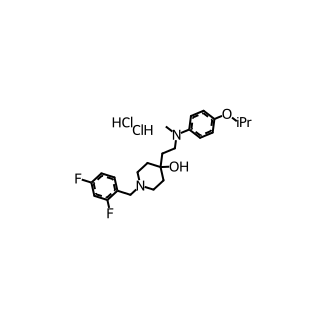 CC(C)Oc1ccc(N(C)CCC2(O)CCN(Cc3ccc(F)cc3F)CC2)cc1.Cl.Cl